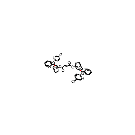 O=C(/C=C/C(=O)OC12CCC(CC(Oc3ccc(Cl)cn3)C1)N2Cc1ccccn1)OC12CCC(CC(Oc3ccc(Cl)cn3)C1)N2Cc1ccccn1